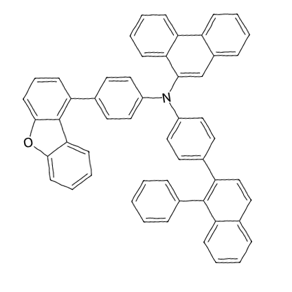 c1ccc(-c2c(-c3ccc(N(c4ccc(-c5cccc6oc7ccccc7c56)cc4)c4cc5ccccc5c5ccccc45)cc3)ccc3ccccc23)cc1